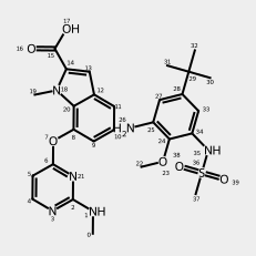 CNc1nccc(Oc2cccc3cc(C(=O)O)n(C)c23)n1.COc1c(N)cc(C(C)(C)C)cc1NS(C)(=O)=O